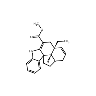 CC[C@]12C=CCN3CCC4(C(=C(C(=O)OC)C1)Nc1ccccc14)[C@@H]32